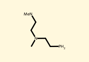 CNCCN(C)CCP